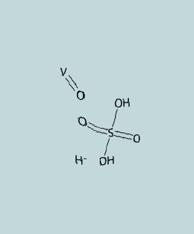 O=S(=O)(O)O.[H-].[O]=[V]